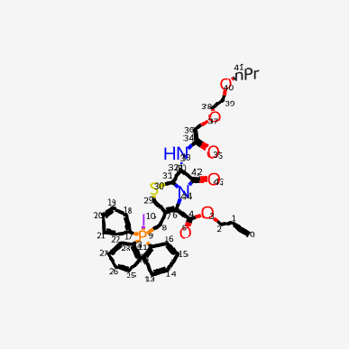 C=CCOC(=O)C1=C(CP(I)(c2ccccc2)(c2ccccc2)c2ccccc2)CSC2[C@H](NC(=O)COCCOCCC)C(=O)N12